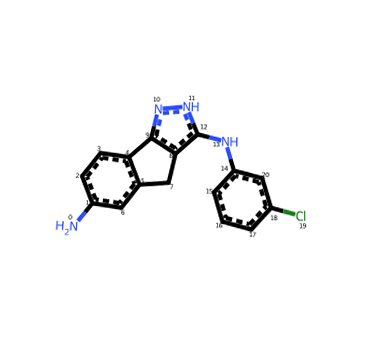 Nc1ccc2c(c1)Cc1c-2n[nH]c1Nc1cccc(Cl)c1